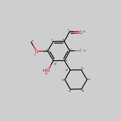 COc1cc(C=O)c(F)c(C2CCCCC2)c1O